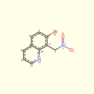 O=[N+]([O-])Cc1c(Br)ccc2cccnc12